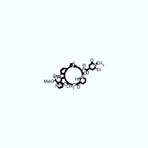 CC[C@@H]1CC(C(=O)N[C@H]2Cc3nc(cs3)-c3ccc4c(c3)c(c(-c3cccnc3[C@H](C)OC)n4CC)CC(C)(C)COC(=O)[C@@H]3CCCN(N3)C2=O)CC(=O)N1C